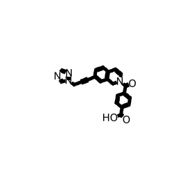 O=C(O)c1ccc(C(=O)N2C=Cc3ccc(C#CCn4cncn4)cc3C2)cc1